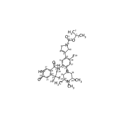 CC(C)OC(=O)N1CC=C(c2cc(NC(=O)c3c[nH]c(=O)cc3C(F)(F)F)c(N3CC(C)N(C)C(C)C3)cc2F)C1